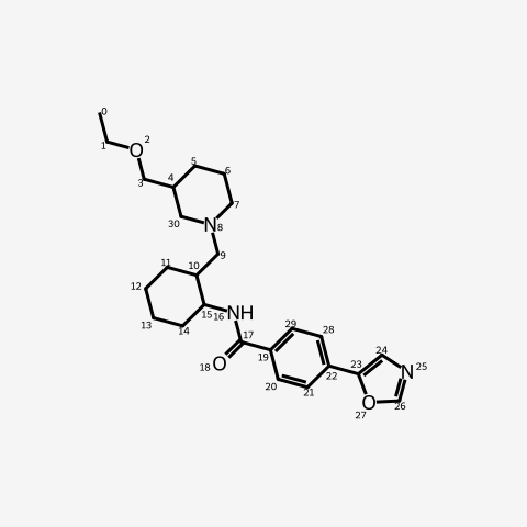 CCOCC1CCCN(CC2CCCCC2NC(=O)c2ccc(-c3cnco3)cc2)C1